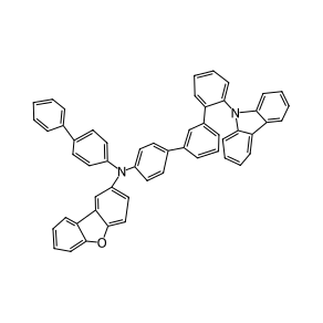 c1ccc(-c2ccc(N(c3ccc(-c4cccc(-c5ccccc5-n5c6ccccc6c6ccccc65)c4)cc3)c3ccc4oc5ccccc5c4c3)cc2)cc1